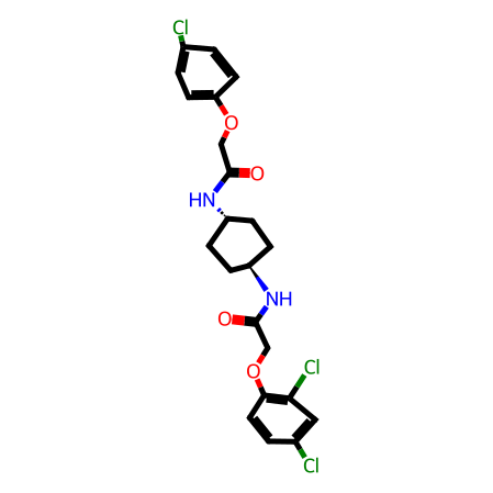 O=C(COc1ccc(Cl)cc1)N[C@H]1CC[C@H](NC(=O)COc2ccc(Cl)cc2Cl)CC1